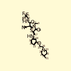 CCn1c(=C(C#N)C(=O)NCC(F)(F)F)sc(=CNc2cccc(OCCN3CCC(C)CC3)c2)c1=O